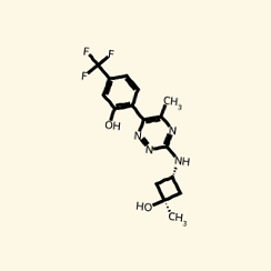 Cc1nc(N[C@H]2C[C@](C)(O)C2)nnc1-c1ccc(C(F)(F)F)cc1O